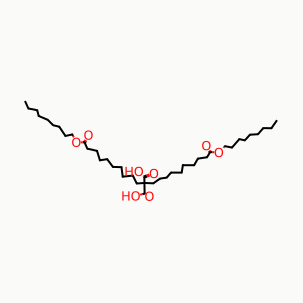 CCCCCCCCCOC(=O)CCCCCCCCCC(CCCCCCCCCC(=O)OCCCCCCCCC)(C(=O)O)C(=O)O